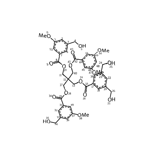 COc1cc(CO)cc(C(=O)OCC(COC(=O)c2cc(CO)cc(CO)c2)(COC(=O)c2cc(CO)cc(OC)c2)COC(=O)c2cc(OC)cc(OC)c2)c1